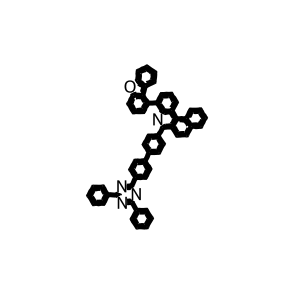 c1ccc(-c2nc(-c3ccccc3)nc(-c3ccc(-c4ccc(-c5nc6c(-c7cccc8oc9ccccc9c78)cccc6c6c5ccc5ccccc56)cc4)cc3)n2)cc1